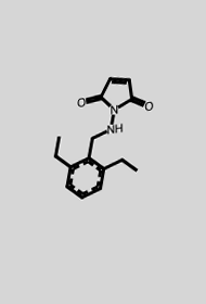 CCc1cccc(CC)c1CNN1C(=O)C=CC1=O